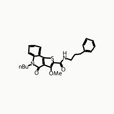 CCCCn1c(=O)c2c(OC)c(C(=O)NCCCc3ccccc3)sc2c2ccccc21